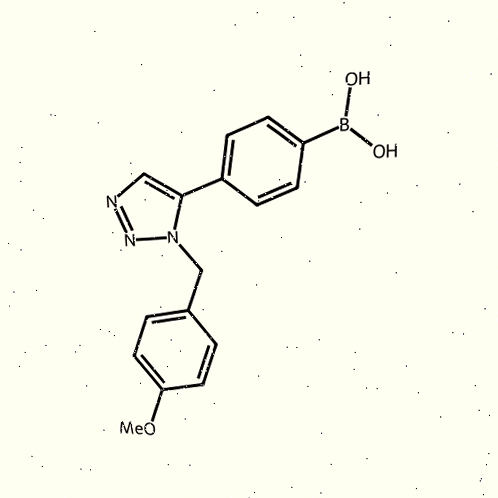 COc1ccc(Cn2nncc2-c2ccc(B(O)O)cc2)cc1